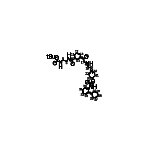 CC(C)(C)OC(=O)NCCNC(=O)c1cccc(C(=O)CNCCN2CCC(OC(=O)Nc3ccccc3-c3ccccc3)CC2)c1